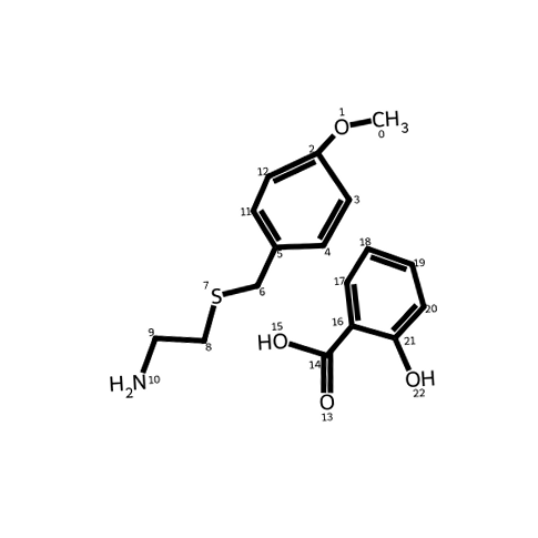 COc1ccc(CSCCN)cc1.O=C(O)c1ccccc1O